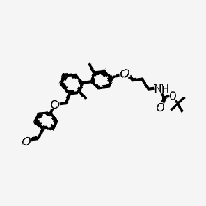 Cc1cc(OCCCNC(=O)OC(C)(C)C)ccc1-c1cccc(COc2ccc(C=O)cc2)c1C